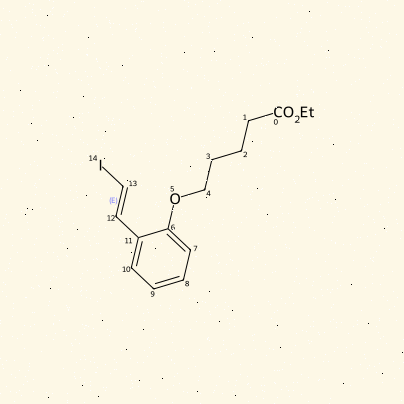 CCOC(=O)CCCCOc1ccccc1/C=C/I